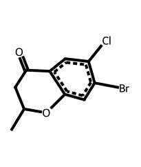 CC1CC(=O)c2cc(Cl)c(Br)cc2O1